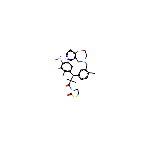 Cc1ccc(C(c2ccc(N(C)N)c(N)c2C)C(C)(C)C(=O)N2CCSC2=O)cc1CN1CCOc2ccncc2C1